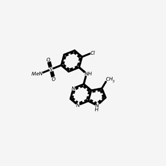 CNS(=O)(=O)c1ccc(Cl)c(Nc2ncnc3[nH]cc(C)c23)c1